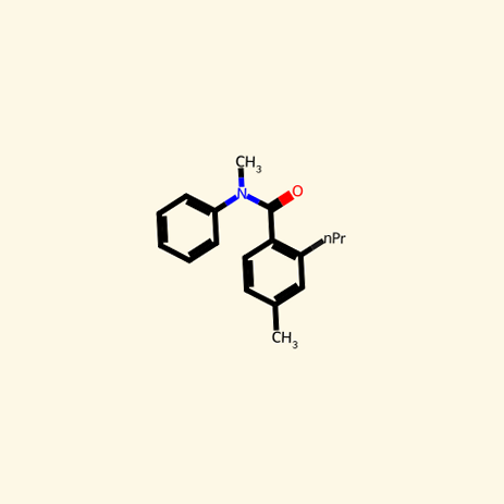 [CH2]CCc1cc(C)ccc1C(=O)N(C)c1ccccc1